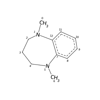 CN1CCCN(C)c2ccccc21